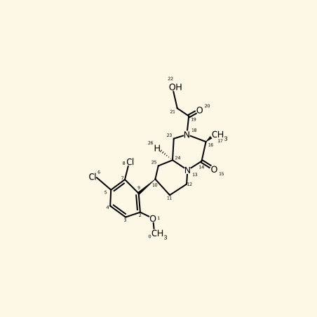 COc1ccc(Cl)c(Cl)c1[C@@H]1CCN2C(=O)[C@H](C)N(C(=O)CO)C[C@@H]2C1